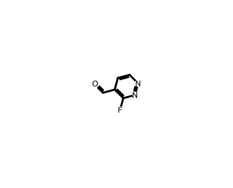 O=Cc1ccnnc1F